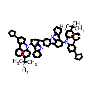 CC(C)(C)c1ccc(N(c2ccc(C3CCCC3)cc2-c2ccccc2)c2ccc3c4cc5c(cc4n4c6ccccc6c2c34)c2ccc(N(c3ccc(C(C)(C)C)cc3)c3ccc(C4CCCC4)cc3-c3ccccc3)c3c4ccccc4n5c23)cc1